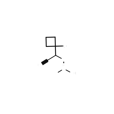 C#CC(O[SiH](C)C)C1(CC)CCC1